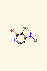 CCNc1ccnc(O)c1[N+](=O)[O-]